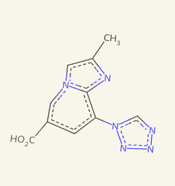 Cc1cn2cc(C(=O)O)cc(-n3cnnn3)c2n1